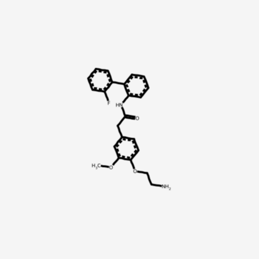 COc1cc(CC(=O)Nc2ccccc2-c2ccccc2F)ccc1OCCN